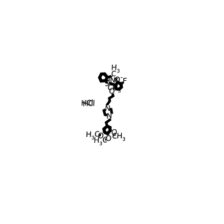 COc1cc(CCN2CCN(CCCCOc3ccc(F)cc3C3(C)Sc4ccccc4C(C)[NH+]3[O-])CC2)cc(OC)c1OC.Cl.Cl